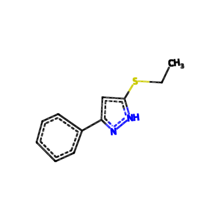 CCSc1cc(-c2ccccc2)n[nH]1